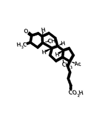 CC(=O)[C@@]1(CCCCC(=O)O)CC[C@H]2[C@@H]3CC[C@@H]4CC(=O)C(C)C[C@]4(C)[C@H]3CC[C@@]21C